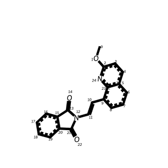 COc1ccc2cccc(/C=C/N3C(=O)c4ccccc4C3=O)c2n1